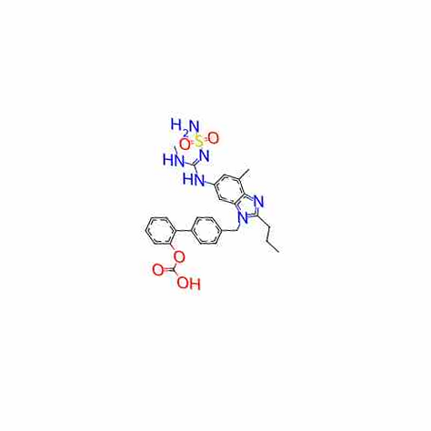 CCCc1nc2c(C)cc(NC(=NS(N)(=O)=O)NC)cc2n1Cc1ccc(-c2ccccc2OC(=O)O)cc1